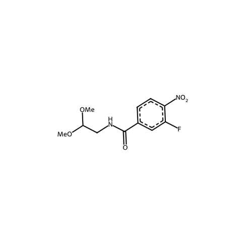 COC(CNC(=O)c1ccc([N+](=O)[O-])c(F)c1)OC